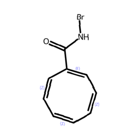 O=C(NBr)C1=C/C=C\C=C/C=C\1